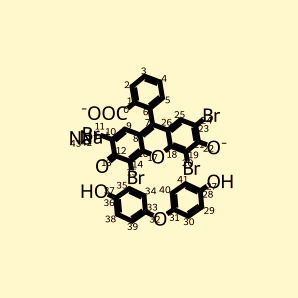 O=C([O-])c1ccccc1-c1c2cc(Br)c(=O)c(Br)c-2oc2c(Br)c([O-])c(Br)cc12.Oc1ccc(Oc2ccc(O)cc2)cc1.[Na+].[Na+]